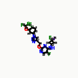 Fc1ccc(-n2cc(COc3ncc(F)c(NC4CC(F)(I)C4)n3)nn2)cc1OC(F)F